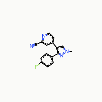 Cn1cc(-c2ccnc(C#N)c2)c(-c2ccc(F)cc2)n1